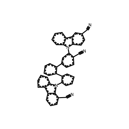 N#Cc1ccc2c(c1)c1ccccc1n2-c1cc(-c2ccccc2-c2ccccc2-n2c3ccccc3c3cccc(C#N)c32)ccc1C#N